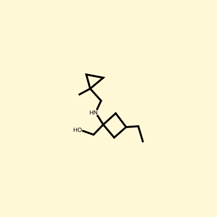 CCC1CC(CO)(NCC2(C)CC2)C1